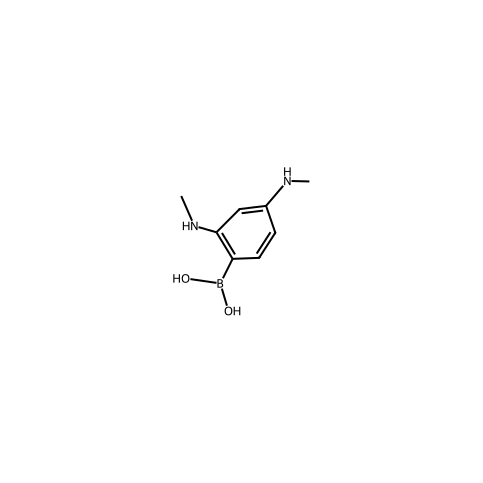 CNc1ccc(B(O)O)c(NC)c1